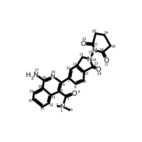 CN(C)C(=O)c1c(-c2ccc3c(c2)CN(N2C(=O)CCCC2=O)C3=O)nc(N)c2ccccc12